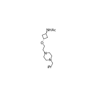 CC(=O)N[C@H]1C[C@H](OCCN2CCN(CC(C)C)CC2)C1